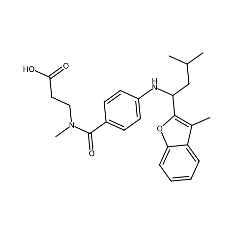 Cc1c(C(CC(C)C)Nc2ccc(C(=O)N(C)CCC(=O)O)cc2)oc2ccccc12